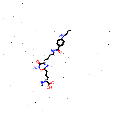 CCCNc1ccc(C(=O)NCCCC[C@H](NC(=O)CCC[C@H](NC)C(=O)O)C(N)=O)cc1